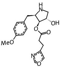 COc1ccc(C[C@H]2NC[C@H](O)[C@H]2OC(=O)CCc2cocn2)cc1